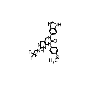 COc1ccc(N2C(=O)N(c3ccc4[nH]cnc4c3)Cc3cnc(NCC(F)(F)F)nc32)cc1